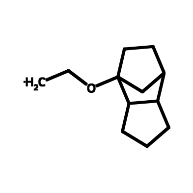 [CH2]COC12CCC(C1)C1CCCC12